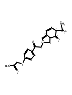 CC(C)COC(=O)COc1ccc(C(=O)CN2C=C3C=CC(C(=N)N)C(=O)C3C2)cc1